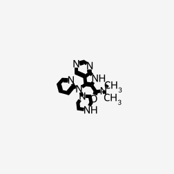 CN(C)C(=O)c1[nH]c2ncncc2c1N(c1ccccn1)N1CCNCC1